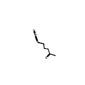 CC(=O)CCCN=[N+]=[N-]